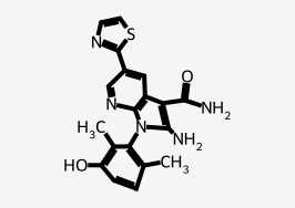 Cc1ccc(O)c(C)c1-n1c(N)c(C(N)=O)c2cc(-c3nccs3)cnc21